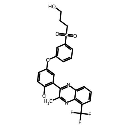 Cc1nc2c(C(F)(F)F)cccc2nc1-c1cc(Oc2cccc(S(=O)(=O)CCCO)c2)ccc1Cl